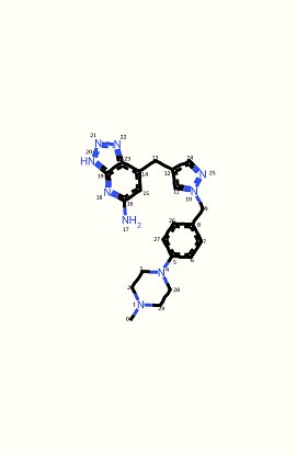 CN1CCN(c2ccc(Cn3cc(Cc4cc(N)nc5[nH]nnc45)cn3)cc2)CC1